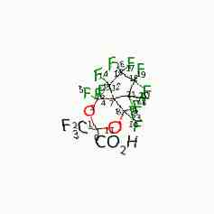 O=C(O)C1(C(F)(F)F)OC(F)(F)C2(C(F)(F)O1)C(F)(F)C(F)(F)C(F)(F)C2(F)F